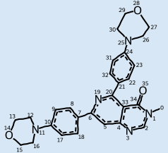 Cn1cnc2cc(-c3ccc(N4CCOCC4)cc3)nc(-c3ccc(N4CCOCC4)cc3)c2c1=O